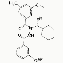 CCC[C@H](C1CCCCC1)N(NC(=O)c1cccc(OC)c1)C(=O)c1cc(C)cc(C)c1